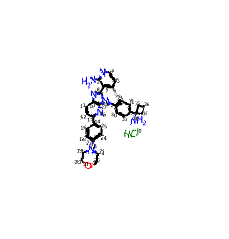 Cl.Nc1ncccc1-c1nc2ccc(-c3ccc(N4CCOCC4)cc3)nc2n1-c1ccc(C2(N)CCC2)cc1